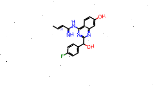 C/C=C/C(=N)Nc1nc(C(O)c2ccc(F)cc2)nc2cc(O)ccc12